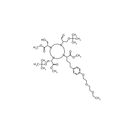 CCOCCOCCOc1ccc(CCCC(C(=O)OC)N2CCN(C(C=O)COC(C)(C)C)CCN([C@H](CO)C(=O)OC)CCN([C@H](COC(C)(C)C)C(=O)OC)CC2)cc1